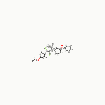 CCOc1ccc(C(F)=C(F)C(c2cccc(Oc3ccccc3)c2)[SiH](C)C)cc1